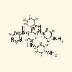 Nc1ccc(Nc2cc(Nc3ccc(N)cc3)c(-c3ccccc3)c(Nc3ncncn3)c2)cc1